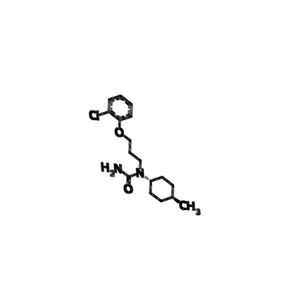 C[C@H]1CC[C@H](N(CCCOc2ccccc2Cl)C(N)=O)CC1